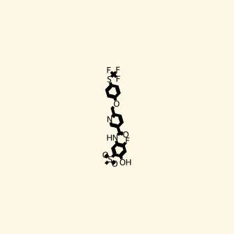 CS(=O)(=O)c1cc(NC(=O)c2ccc(COc3ccc(SC(F)(F)F)cc3)nc2)c(F)cc1O